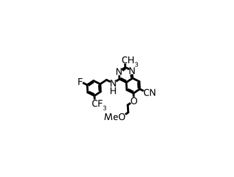 COCCOc1cc2c(NCc3cc(F)cc(C(F)(F)F)c3)nc(C)nc2cc1C#N